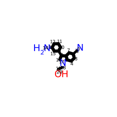 N#Cc1ccc2c(c1)c(-c1cccc(N)c1)cn2CCO